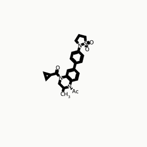 CC(=O)N1c2ccc(-c3ccc(N4CCCS4(=O)=O)cc3)cc2N(C(=O)C2CC2)CC1C